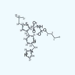 CCCCOC(=O)NS(=O)(=O)c1sc(CC(C)C)cc1-c1ccc(Cn2ccnc2)nc1